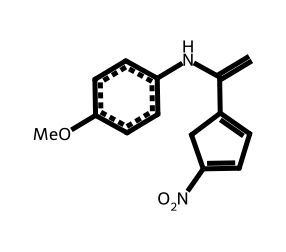 C=C(Nc1ccc(OC)cc1)C1=CC=C([N+](=O)[O-])C1